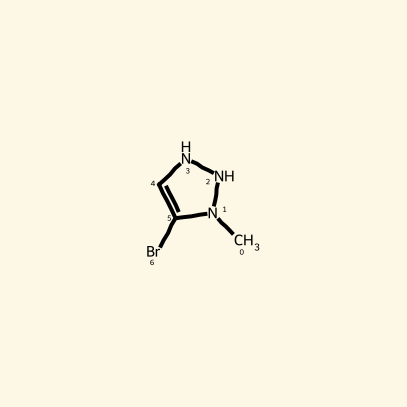 CN1NNC=C1Br